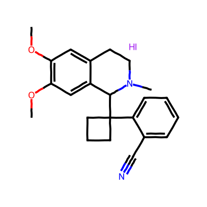 COc1cc2c(cc1OC)C(C1(c3ccccc3C#N)CCC1)N(C)CC2.I